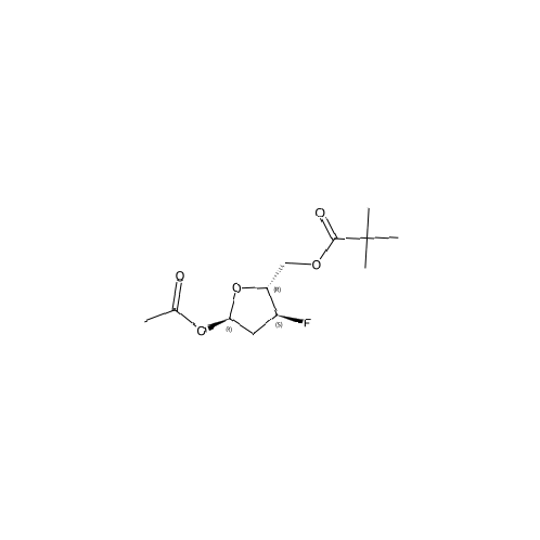 CC(=O)O[C@@H]1C[C@H](F)[C@@H](COC(=O)C(C)(C)C)O1